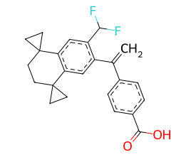 C=C(c1ccc(C(=O)O)cc1)c1cc2c(cc1C(F)F)C1(CCC23CC3)CC1